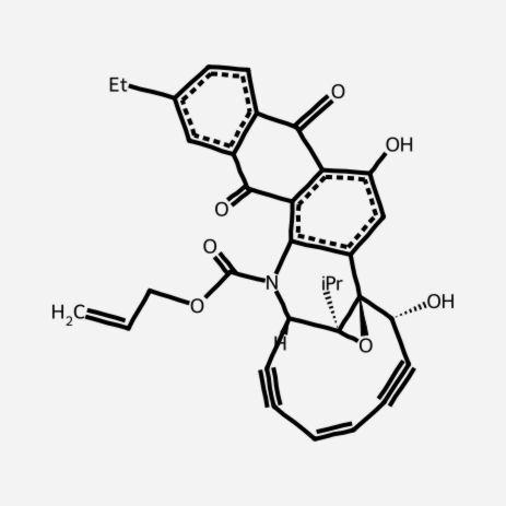 C=CCOC(=O)N1c2c(cc(O)c3c2C(=O)c2cc(CC)ccc2C3=O)[C@@]23O[C@@]2(C(C)C)[C@@H]1C#C/C=C\C#C[C@H]3O